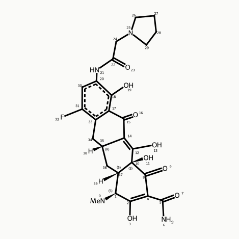 CN[C@@H]1C(O)=C(C(N)=O)C(=O)[C@@]2(O)C(O)=C3C(=O)c4c(O)c(NC(=O)CN5CCCC5)cc(F)c4C[C@H]3C[C@@H]12